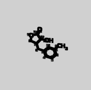 Cc1cccc(CC2COC(=O)C2O)c1